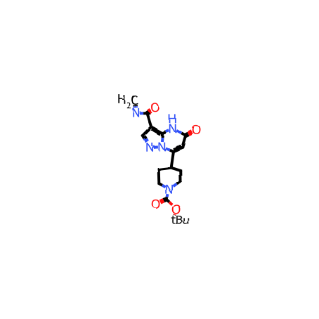 C=NC(=O)c1cnn2c(C3CCN(C(=O)OC(C)(C)C)CC3)cc(=O)[nH]c12